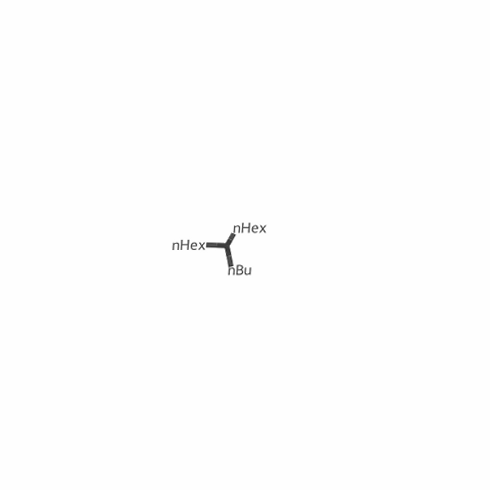 CCCCCCC(CCCC)CCCCCC